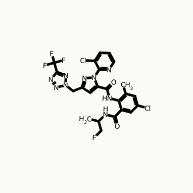 Cc1cc(Cl)cc(C(=O)NC(C)CF)c1NC(=O)c1cc(Cn2nnc(C(F)(F)F)n2)nn1-c1ncccc1Cl